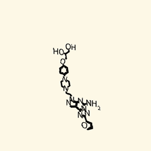 Nc1nc2c(cnn2CCN2CCN(c3ccc(OCC(O)CO)cc3)CC2)c2nc(-c3ccco3)nn12